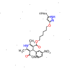 CCCCCCc1cc(OCCCCCCOC(=O)C2=C(C)NC(C)=C(C(=O)OC)C2c2cccc([N+](=O)[O-])c2)n[nH]1